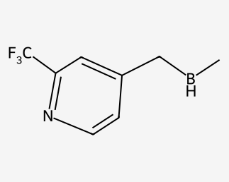 CBCc1ccnc(C(F)(F)F)c1